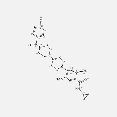 CC1=C(N2CCN(C3CCN(C(=O)c4ccc(Cl)cc4)CC3)CC2)N[C@@H](C)C(C(=O)NC2CC2)=C1